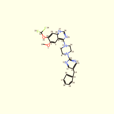 COc1cc2c(N3CCN(c4ncc(Cc5ccccc5)cn4)CC3)ncnc2cc1OC(F)F